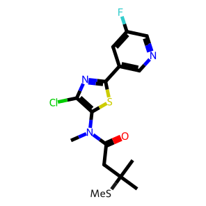 CSC(C)(C)CC(=O)N(C)c1sc(-c2cncc(F)c2)nc1Cl